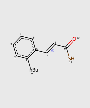 CCCCc1ccccc1/C=C/C(=O)S